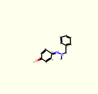 CN(Cc1ccccc1)N=C1C=CC(=O)C=C1